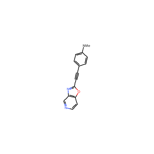 CNc1ccc(C#Cc2nc3cnccc3o2)cc1